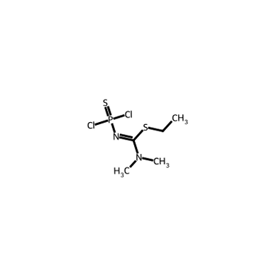 CCS/C(=N\P(=S)(Cl)Cl)N(C)C